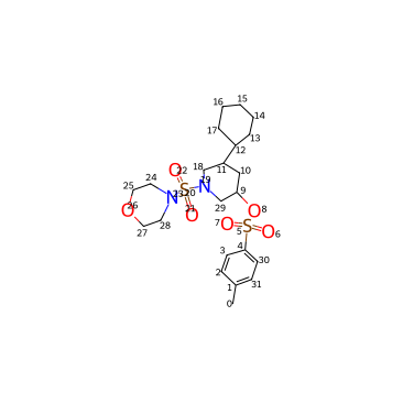 Cc1ccc(S(=O)(=O)OC2CC(C3CCCCC3)CN(S(=O)(=O)N3CCOCC3)C2)cc1